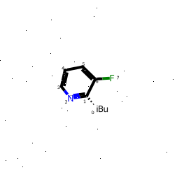 CC[C@@H](C)c1ncccc1F